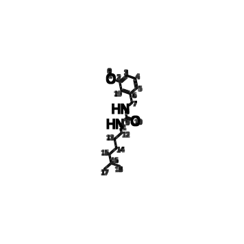 COc1cccc(CNC(=O)NCCCCC(C)C)c1